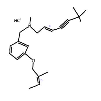 C/C=C(/C)COc1cccc(CN(C)C/C=C/C#CC(C)(C)C)c1.Cl